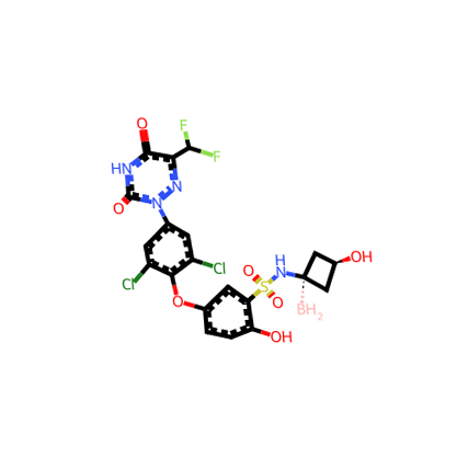 B[C@]1(NS(=O)(=O)c2cc(Oc3c(Cl)cc(-n4nc(C(F)F)c(=O)[nH]c4=O)cc3Cl)ccc2O)C[C@@H](O)C1